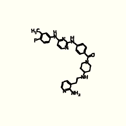 Cc1cc(Nc2ccnc(Nc3ccc(C(=O)N4CCC(NCCc5cccnc5N)CC4)cc3)n2)ccc1F